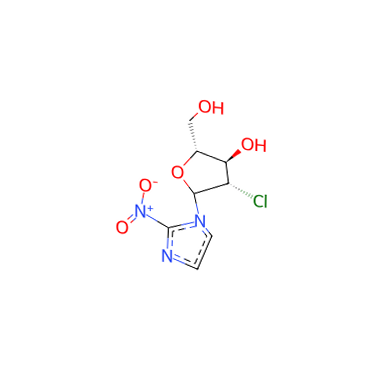 O=[N+]([O-])c1nccn1C1O[C@H](CO)[C@@H](O)[C@@H]1Cl